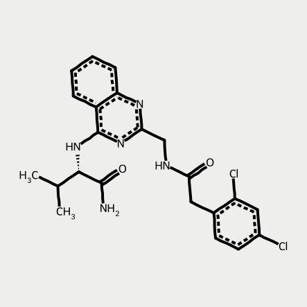 CC(C)[C@H](Nc1nc(CNC(=O)Cc2ccc(Cl)cc2Cl)nc2ccccc12)C(N)=O